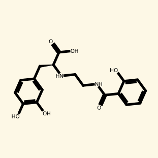 O=C(NCCN[C@@H](Cc1ccc(O)c(O)c1)C(=O)O)c1ccccc1O